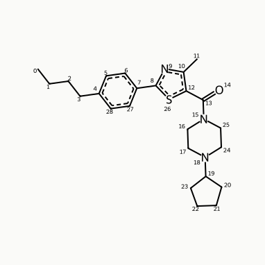 CCCCc1ccc(-c2nc(C)c(C(=O)N3CCN(C4CCCC4)CC3)s2)cc1